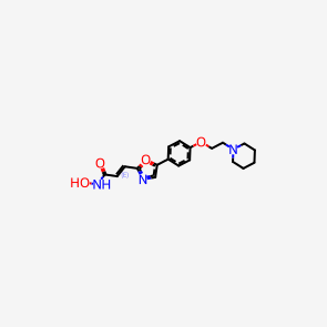 O=C(/C=C/c1ncc(-c2ccc(OCCN3CCCCC3)cc2)o1)NO